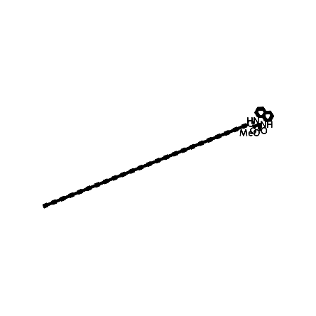 C#CC#CC#CC#CC#CC#CC#CC#CC#CC#CC#CC#CC#CC#CC#CC#CC#CC#CC#CC#CC#CC#CC#CC#COC(=O)C1(C(=O)OC)Nc2cccc3cccc(c23)N1